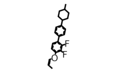 C/C=C\Oc1ccc(-c2ccc(C3CCC(C)CC3)cc2)c(F)c1F